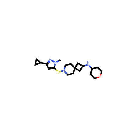 Cn1nc(C2CC2)cc1SN1CCC2(CC1)CC(NC1CCOCC1)C2